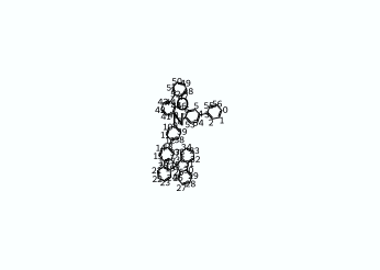 c1ccc(-c2ccc(N(c3ccc(-c4cccc(C5(c6ccccc6)c6ccccc6-c6ccccc65)c4)cc3)c3cccc4c3oc3ccccc34)cc2)cc1